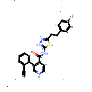 C#Cc1ccccc1-c1cnccc1C(=O)Nc1nnc(CCc2ccc(Cl)cc2)s1